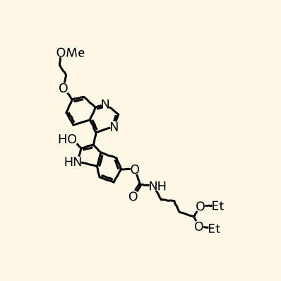 CCOC(CCCNC(=O)Oc1ccc2[nH]c(O)c(-c3ncnc4cc(OCCOC)ccc34)c2c1)OCC